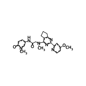 COc1ccnc(-c2nc3c(c(N(C)CC(=O)Nc4ccc(=O)n(C)c4)n2)CCC3)c1